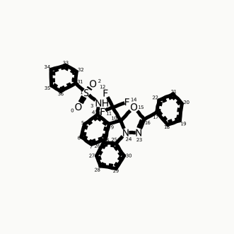 O=S(=O)(Nc1ccccc1C1(C(F)(F)F)OC(c2ccccc2)=NN1c1ccccc1)c1ccccc1